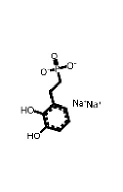 O=P([O-])([O-])CCc1cccc(O)c1O.[Na+].[Na+]